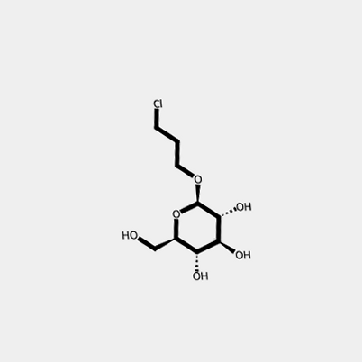 OC[C@H]1O[C@@H](OCCCCl)[C@H](O)[C@@H](O)[C@@H]1O